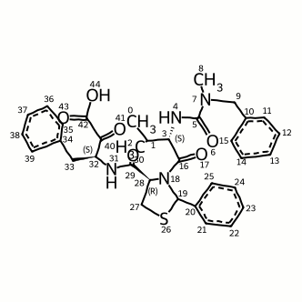 CC(C)[C@H](NC(=O)N(C)Cc1ccccc1)C(=O)N1C(c2ccccc2)SC[C@H]1C(=O)N[C@@H](Cc1ccccc1)C(=O)C(=O)O